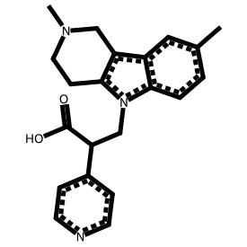 Cc1ccc2c(c1)c1c(n2CC(C(=O)O)c2ccncc2)CCN(C)C1